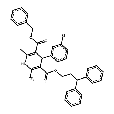 CC1=C(C(=O)OCc2ccccc2)C(c2cccc(Cl)c2)C(C(=O)OCCC(c2ccccc2)c2ccccc2)=C(C(F)(F)F)N1